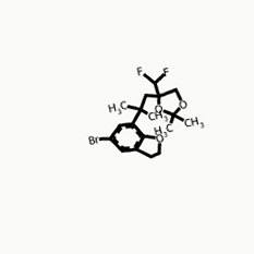 CC1(C)OCC(CC(C)(C)c2cc(Br)cc3c2OCC3)(C(F)F)O1